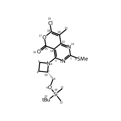 CSc1nc(N2CC[C@H]2CO[Si](C)(C)C(C)(C)C)c2c(=O)oc(Cl)c(C)c2n1